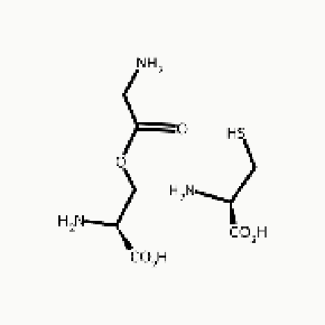 NCC(=O)OC[C@H](N)C(=O)O.N[C@@H](CS)C(=O)O